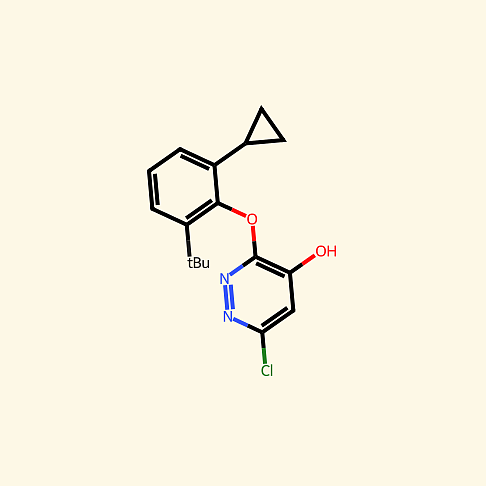 CC(C)(C)c1cccc(C2CC2)c1Oc1nnc(Cl)cc1O